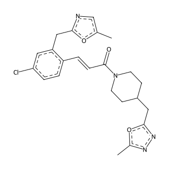 Cc1cnc(Cc2cc(Cl)ccc2C=CC(=O)N2CCC(Cc3nnc(C)o3)CC2)o1